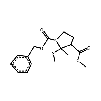 COC(=O)C1CCN(C(=O)OCc2ccccc2)C1(C)SC